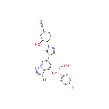 Cc1c(-c2cc(O[C@H](CO)c3ccc(F)cn3)c3c(Cl)cnn3c2)cnn1[C@H]1CCN(C#N)C[C@@H]1O